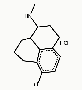 CNC1CCc2ccc(Cl)c3c2C1CCC3.Cl